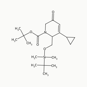 CC(C)(C)OC(=O)N1CC(=O)C=C(C2CC2)C1CO[Si](C)(C)C(C)(C)C